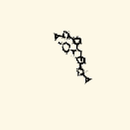 CN1CCN(C(=O)N(CC23CCC(c4nc(C5CC5)no4)(CC2)CC3)c2cccc(-c3nc(C4CC4)no3)c2)CC1